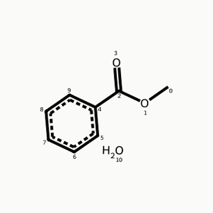 COC(=O)c1ccccc1.O